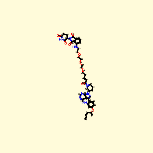 C=C/C=C\C(=C)Oc1ccc(-c2nn(C3CCCN(C(=O)/C=C/CCOCCOCCOCCNc4cccc5c4C(=O)N(C4CCC(=O)NC4=O)C5=O)C3)c3ncnc(N)c23)cc1